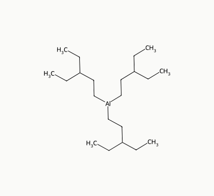 CCC(CC)C[CH2][Al]([CH2]CC(CC)CC)[CH2]CC(CC)CC